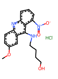 COc1ccc2nc3cccc([N+](=O)[O-])c3c(NCCCCO)c2c1.Cl